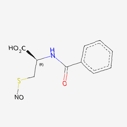 O=NSC[C@H](NC(=O)c1ccccc1)C(=O)O